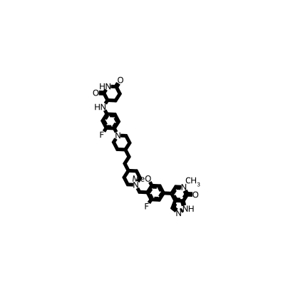 COc1cc(-c2cn(C)c(=O)c3[nH]ncc23)cc(F)c1CN1CCC(CCC2CCN(c3ccc(NC4CCC(=O)NC4=O)cc3F)CC2)CC1